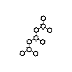 c1ccc(-c2cc(-c3ccccc3)nc(-c3cccc(-c4cc(-c5cccc(-c6nc(-c7ccccc7)cc(-c7ccccc7)n6)c5)nc(-c5ccccc5)n4)c3)n2)cc1